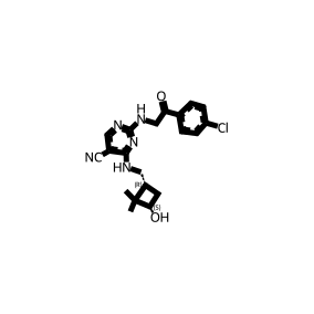 CC1(C)[C@H](CNc2nc(NCC(=O)c3ccc(Cl)cc3)ncc2C#N)C[C@@H]1O